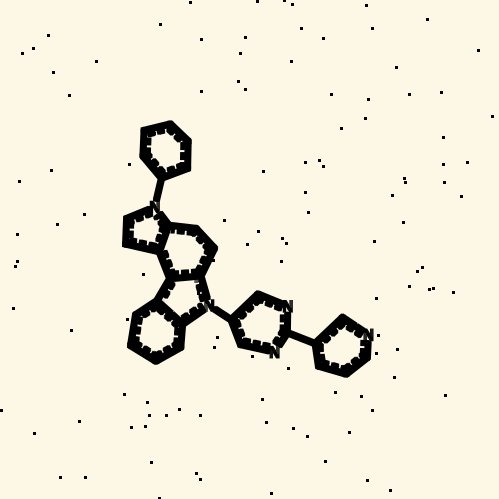 c1ccc(-n2ccc3c4c5ccccc5n(-c5cnc(-c6cccnc6)nc5)c4ccc32)cc1